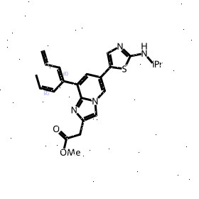 C=C/C=C(\C=C/C)c1cc(-c2cnc(NC(C)C)s2)cn2cc(CC(=O)OC)nc12